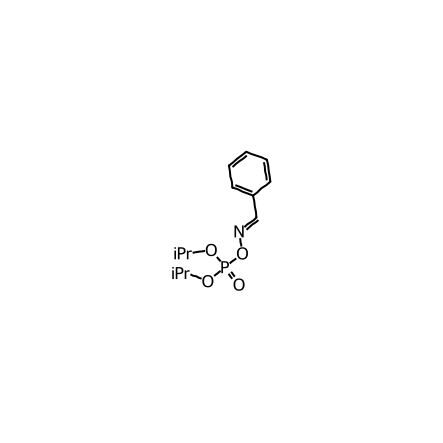 CC(C)OP(=O)(O/N=C/c1ccccc1)OC(C)C